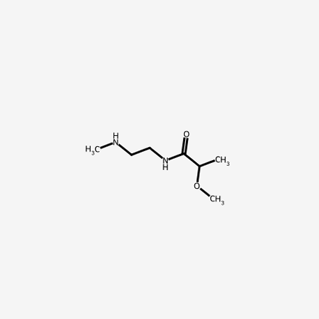 CNCCNC(=O)C(C)OC